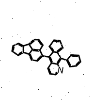 c1ccc(-c2c3ccccc3c(-c3ccc4c5c(cccc35)-c3ccccc3-4)c3cccnc23)cc1